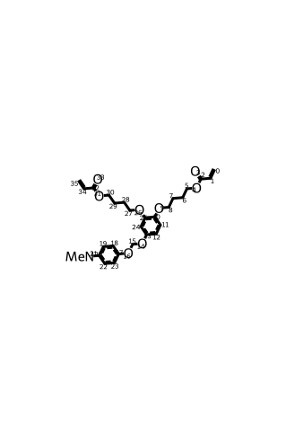 C=CC(=O)OCCCCOc1ccc(OCOc2ccc(NC)cc2)cc1OCCCCOC(=O)C=C